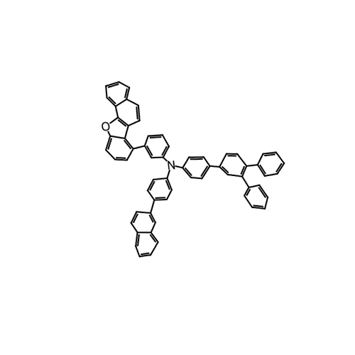 c1ccc(-c2ccc(-c3ccc(N(c4ccc(-c5ccc6ccccc6c5)cc4)c4cccc(-c5cccc6oc7c8ccccc8ccc7c56)c4)cc3)cc2-c2ccccc2)cc1